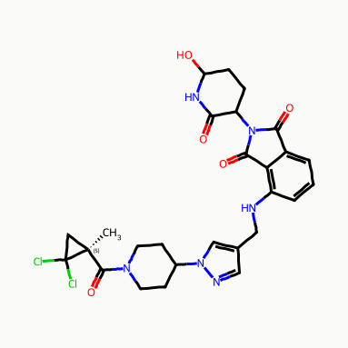 C[C@@]1(C(=O)N2CCC(n3cc(CNc4cccc5c4C(=O)N(C4CCC(O)NC4=O)C5=O)cn3)CC2)CC1(Cl)Cl